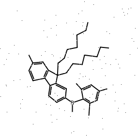 CCCCCCCC1(CCCCCCC)c2cc(C)ccc2-c2ccc(B(C)c3c(C)cc(C)cc3C)cc21